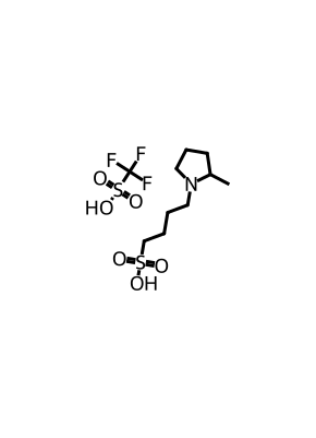 CC1CCCN1CCCCS(=O)(=O)O.O=S(=O)(O)C(F)(F)F